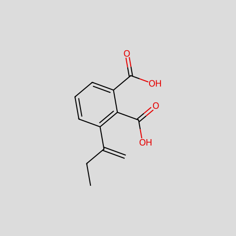 C=C(CC)c1cccc(C(=O)O)c1C(=O)O